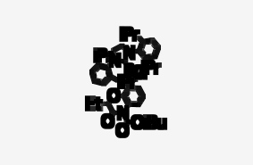 CCC1Oc2c([CH]=[Ru]([Cl])[CH]3N(c4c(C(C)C)cccc4C(C)C)CCN3c3c(C(C)C)cccc3C(C)C)cccc2N(C(=O)OCC(C)C)C1=O